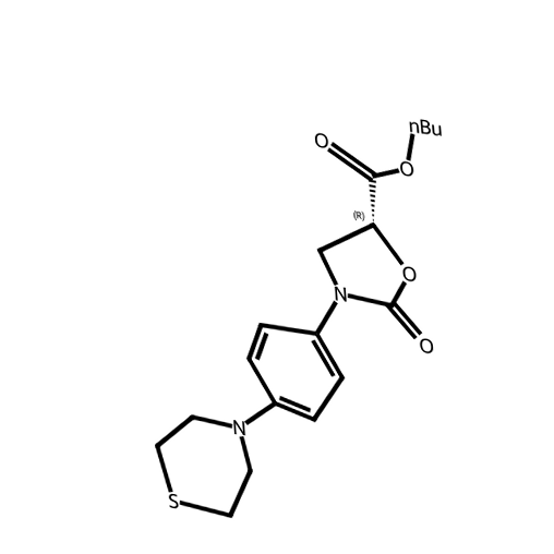 CCCCOC(=O)[C@H]1CN(c2ccc(N3CCSCC3)cc2)C(=O)O1